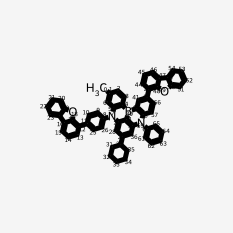 Cc1ccc2c(c1)N(c1ccc(-c3cccc4c3oc3ccccc34)cc1)c1cc(C3CCCCC3)cc3c1B2c1cc(-c2cccc4c2oc2ccccc24)ccc1N3c1ccccc1